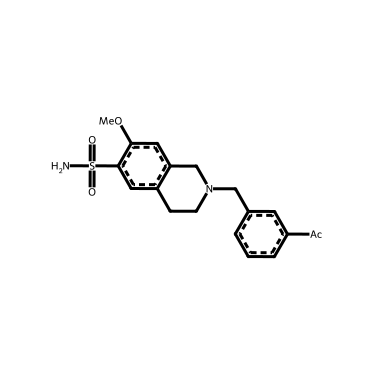 COc1cc2c(cc1S(N)(=O)=O)CCN(Cc1cccc(C(C)=O)c1)C2